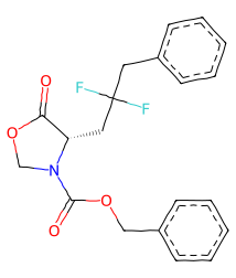 O=C1OCN(C(=O)OCc2ccccc2)[C@H]1CC(F)(F)Cc1ccccc1